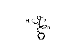 CCN(CC)C(=S)Sc1ccccc1.[Zn]